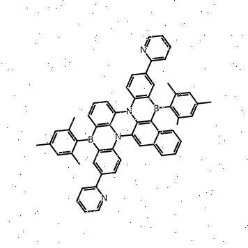 Cc1cc(C)c(B2c3cc(-c4ccccn4)ccc3N3c4cc5ccccc5c5c4N(c4ccc(-c6ccccn6)cc4B5c4c(C)cc(C)cc4C)c4cccc2c43)c(C)c1